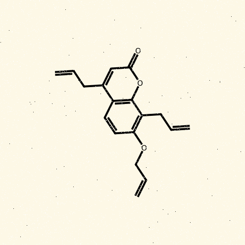 C=CCOc1ccc2c(CC=C)cc(=O)oc2c1CC=C